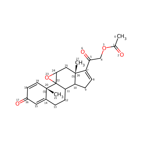 CC(=O)OCC(=O)C1=CCC2C3CCC4=CC(=O)C=C[C@]4(C)C34OC4C[C@]12C